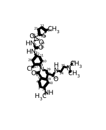 CNc1ccc2c(=O)n(-c3ccc(NC(=O)NS(=O)(=O)c4ccc(C)s4)cc3Cl)cc(C(=O)NCCN(C)C)c2c1